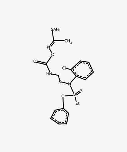 CCP(=S)(Oc1ccccc1)N(SCNC(=O)ON=C(C)SC)c1ccccc1Cl